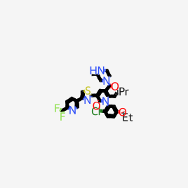 CCOc1ccc(Cl)c(-n2c(CC(C)C)c(C(=O)N3CCN[C@H](C)C3)cc(-c3nc(-c4ccc(C(F)F)nc4)cs3)c2=O)c1